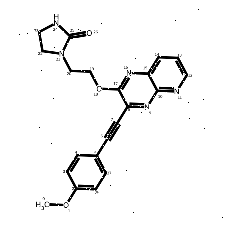 COc1ccc(C#Cc2nc3ncccc3nc2OCCN2CCNC2=O)cc1